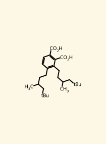 CC(CCc1ccc(C(=O)O)c(C(=O)O)c1CCC(C)CC(C)(C)C)CC(C)(C)C